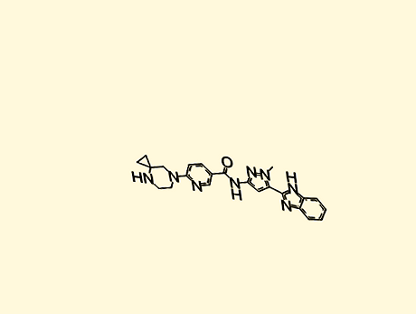 Cn1nc(NC(=O)c2ccc(N3CCNC4(CC4)C3)nc2)cc1-c1nc2ccccc2[nH]1